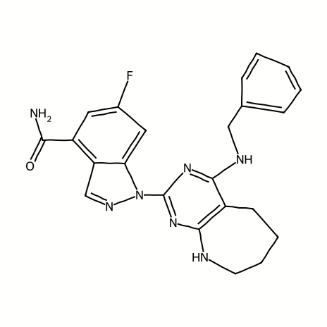 NC(=O)c1cc(F)cc2c1cnn2-c1nc2c(c(NCc3ccccc3)n1)CCCCN2